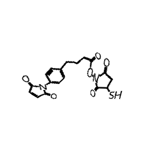 O=C(CCCc1ccc(N2C(=O)C=CC2=O)cc1)ON1C(=O)CC(S)C1=O